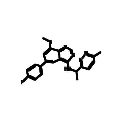 CSc1cc(-c2ccc(F)cc2)cc2c(NC(C)c3ccc(C)nn3)ncnc12